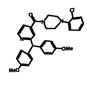 COc1ccc(C(c2ccc(OC)cc2)c2cc(C(=O)N3CCN(c4ccccc4Cl)CC3)ccn2)cc1